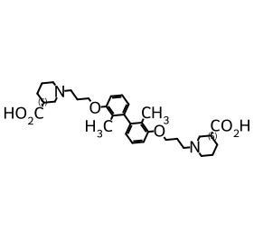 Cc1c(OCCCN2CCC[C@H](C(=O)O)C2)cccc1-c1cccc(OCCCN2CCC[C@H](C(=O)O)C2)c1C